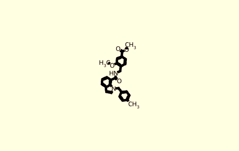 COC(=O)c1ccc(CNC(=O)c2cccc3ccn(Cc4ccc(C)cc4)c23)c(OC)c1